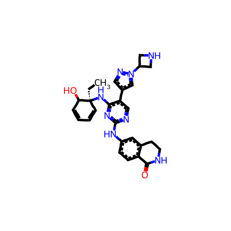 CC[C@]1(Nc2nc(Nc3ccc4c(c3)CCNC4=O)ncc2-c2cnn(C3CNC3)c2)C=CC=CC1O